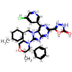 C[C@@H]1OCCN(c2nc3nc(-c4n[nH]c(=O)o4)nc(-c4cncc(Cl)c4)c3n2C[C@H]2CC[C@H](C)CC2)[C@@H]1c1ccccc1